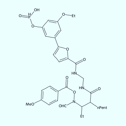 CCCCCC(C(=O)NCNC(=O)c1ccc(-c2cc(OCC)cc(O[PH](=O)O)c2)o1)C(CC)N(C=O)OC(=O)c1ccc(OC)cc1